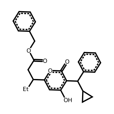 CCC(CC(=O)OCc1ccccc1)c1cc(O)c(C(c2ccccc2)C2CC2)c(=O)o1